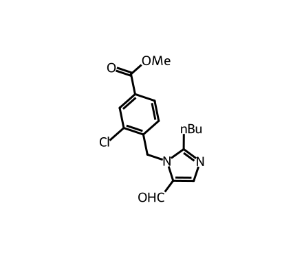 CCCCc1ncc(C=O)n1Cc1ccc(C(=O)OC)cc1Cl